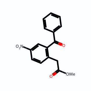 COC(=O)Cc1ccc([N+](=O)[O-])cc1C(=O)c1ccccc1